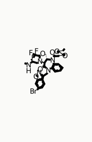 CN[C@@H](C)CN(C(=O)C(F)(F)F)[C@@H]1C(=O)N(Cc2noc3cc(Br)ccc23)c2ccccc2N(C(=O)CS(C)(=O)=O)[C@H]1C